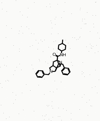 CC1CCC(NC(=O)C23CC4CN(Cc5ccccc5)C(C4C=N2)C3Cc2ccccc2)CC1